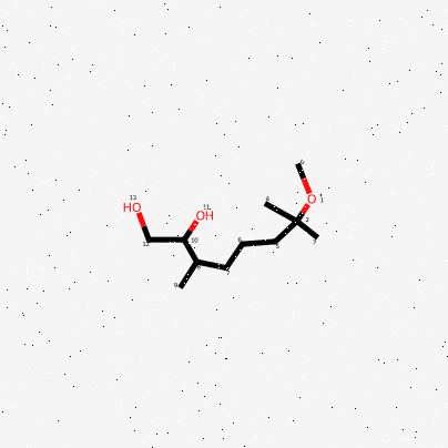 COC(C)(C)CCCC(C)C(O)CO